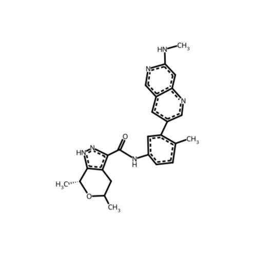 CNc1cc2ncc(-c3cc(NC(=O)c4n[nH]c5c4CC(C)O[C@@H]5C)ccc3C)cc2cn1